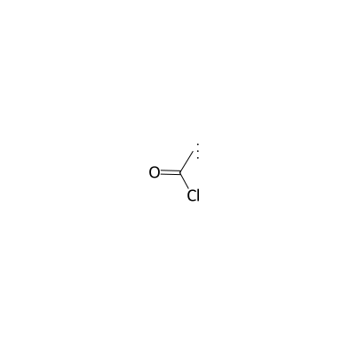 [C]C(=O)Cl